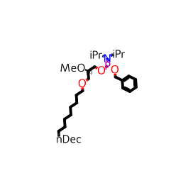 CCCCCCCCCCCCCCCCCCOC[C@H](COP(OCc1ccccc1)N(C(C)C)C(C)C)OC